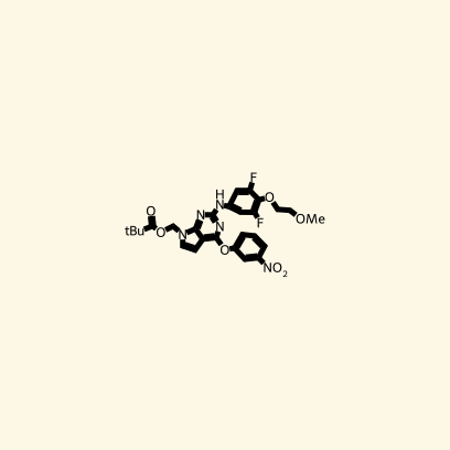 COCCOc1c(F)cc(Nc2nc(Oc3cccc([N+](=O)[O-])c3)c3ccn(COC(=O)C(C)(C)C)c3n2)cc1F